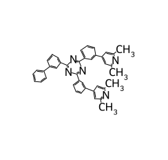 Cc1cc(-c2cccc(-c3nc(-c4cccc(-c5ccccc5)c4)nc(-c4cccc(-c5cc(C)nc(C)c5)c4)n3)c2)cc(C)n1